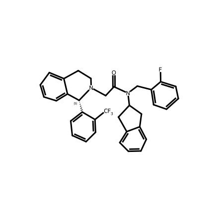 O=C(CN1CCc2ccccc2[C@H]1c1ccccc1C(F)(F)F)N(Cc1ccccc1F)C1Cc2ccccc2C1